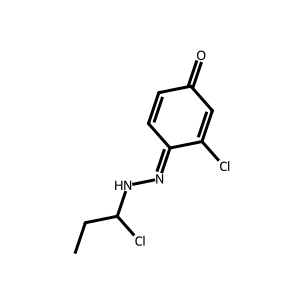 CCC(Cl)NN=C1C=CC(=O)C=C1Cl